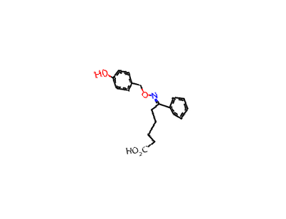 O=C(O)CCCC/C(=N\OCc1ccc(O)cc1)c1ccccc1